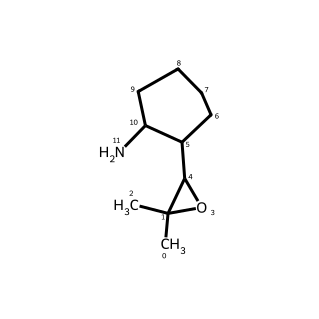 CC1(C)OC1C1CCCCC1N